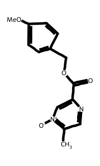 COc1ccc(COC(=O)c2c[n+]([O-])c(C)cn2)cc1